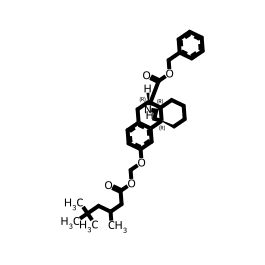 CC(CC(=O)OCOc1ccc2c(c1)[C@@]13CCCC[C@H]1[C@@H](C2)N(C(=O)OCc1ccccc1)CC3)CC(C)(C)C